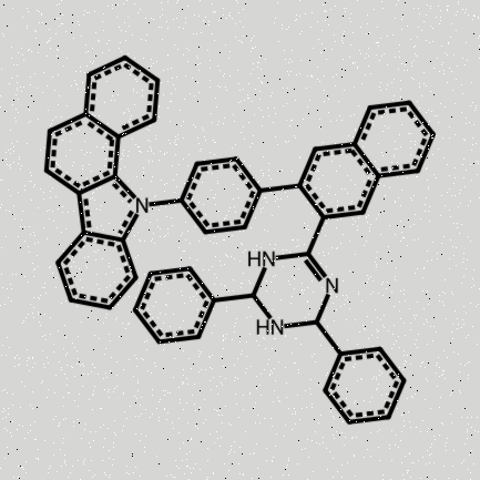 c1ccc(C2N=C(c3cc4ccccc4cc3-c3ccc(-n4c5ccccc5c5ccc6ccccc6c54)cc3)NC(c3ccccc3)N2)cc1